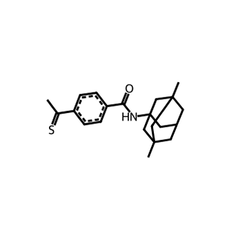 CC(=S)c1ccc(C(=O)NC23CC4CC(C)(CC(C)(C4)C2)C3)cc1